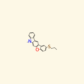 CCCSc1ccc2oc3cc4c(cc3c2c1)c1ccccc1n4C